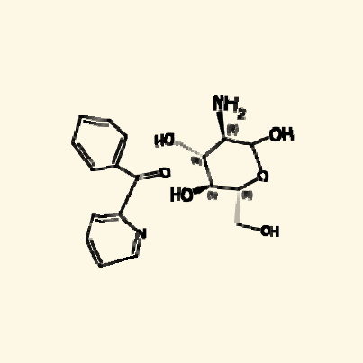 N[C@H]1C(O)O[C@H](CO)[C@@H](O)[C@@H]1O.O=C(c1ccccc1)c1ccccn1